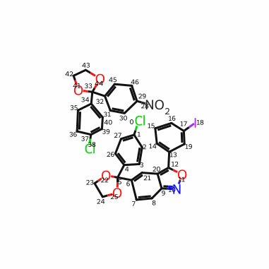 Clc1ccc(C2(c3ccc4noc(-c5cccc(I)c5)c4c3)OCCO2)cc1.O=[N+]([O-])c1ccc(C2(c3ccc(Cl)cc3)OCCO2)cc1